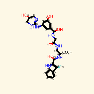 O=C(CNC(O)c1cc(O)cc(NC2=NCC(O)CN2)c1)NC[C@H](NC(O)c1[nH]c2ccccc2c1F)C(=O)O